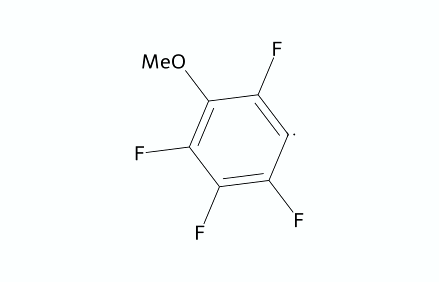 COc1c(F)[c]c(F)c(F)c1F